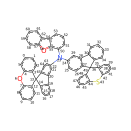 c1ccc2c(c1)Oc1ccccc1C21c2ccccc2-c2cc(N(c3ccc4c(c3)-c3ccccc3C43c4ccccc4Sc4ccccc43)c3cccc4c3oc3ccccc34)ccc21